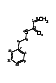 C=CC(=O)SCCc1ccccc1